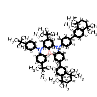 CC(C)(C)c1ccc(N2c3ccc(C(C)(C)C)cc3B3c4cc(-c5ccc6c(c5)C(C)(C)CCC6(C)C)ccc4N(c4ccc(-c5ccc6c(c5)C(C)(C)CCC6(C)C)cc4)c4cc(C(C)(C)C)cc2c43)cc1